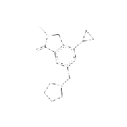 O=C1c2cc(CN3CCCC3)nc(C3CC3)c2CN1S